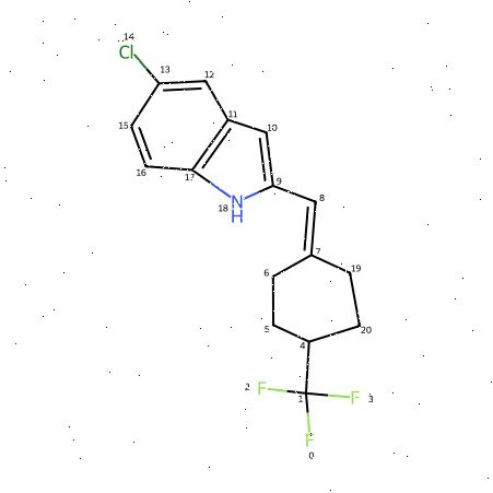 FC(F)(F)C1CCC(=Cc2cc3cc(Cl)ccc3[nH]2)CC1